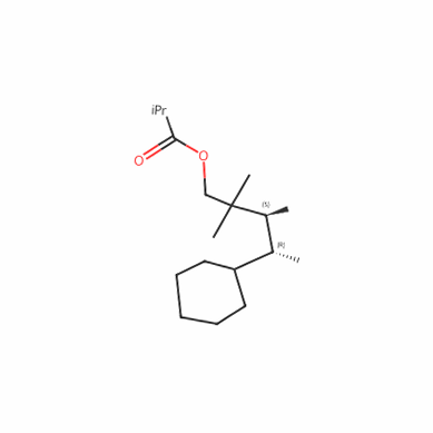 CC(C)C(=O)OCC(C)(C)[C@@H](C)[C@H](C)C1CCCCC1